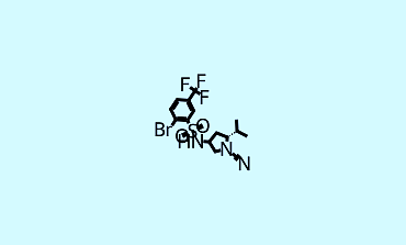 CC(C)[C@H]1CC(NS(=O)(=O)c2cc(C(F)(F)F)ccc2Br)CN1C#N